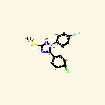 CSc1nc(-c2ccc(Cl)cc2)n(-c2ccc(F)cc2)n1